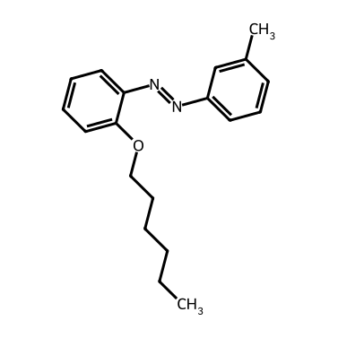 CCCCCCOc1ccccc1N=Nc1cccc(C)c1